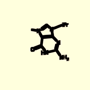 CC(C)n1c[n+](C)c2c(=O)[nH]c(N)nc21